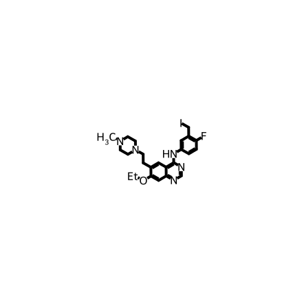 CCOc1cc2ncnc(Nc3ccc(F)c(CI)c3)c2cc1CCN1CCN(C)CC1